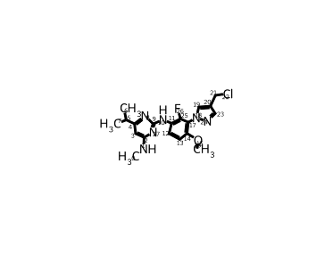 CNc1cc(C(C)C)nc(Nc2ccc(OC)c(-n3cc(CCl)cn3)c2F)n1